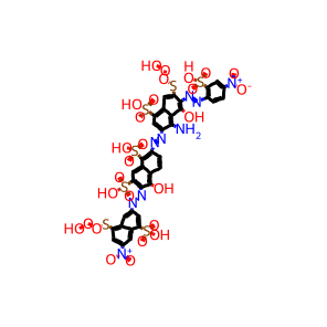 Nc1c(N=Nc2ccc3c(O)c(N=Nc4cc(S(=O)(=O)O)c5cc([N+](=O)[O-])cc(SOOO)c5c4)c(S(=O)(=O)O)cc3c2S(=O)(=O)O)cc(S(=O)(=O)O)c2cc(SOOO)c(N=Nc3ccc([N+](=O)[O-])cc3S(=O)(=O)O)c(O)c12